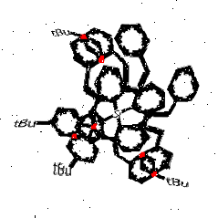 CC(C)(C)c1ccc(C=Cc2cccc(C=Cc3ccccc3)c2[Si](c2c(C=Cc3ccccc3)cccc2C=Cc2ccc(C(C)(C)C)cc2)(c2c(C=Cc3ccccc3)cccc2C=Cc2ccc(C(C)(C)C)cc2)c2c(C=Cc3ccccc3)cccc2C=Cc2ccc(C(C)(C)C)cc2)cc1